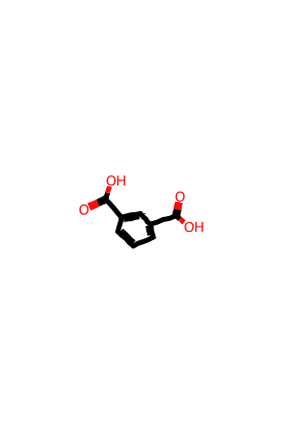 O=C(O)c1[c]c(C(=O)O)ccc1